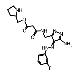 NC1=NN=C(CNC(=O)CC(=O)OCC2CCCN2)C1=NNc1cccc(F)c1